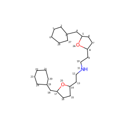 C1CCC(CC2CCC(CCNCCC3CCC(CC4CCCCC4)O3)O2)CC1